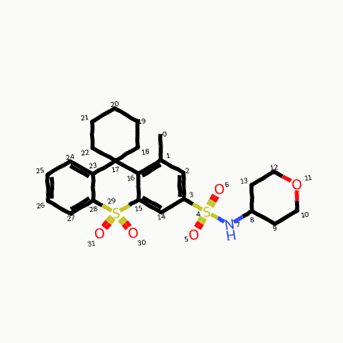 Cc1cc(S(=O)(=O)NC2CCOCC2)cc2c1C1(CCCCC1)c1ccccc1S2(=O)=O